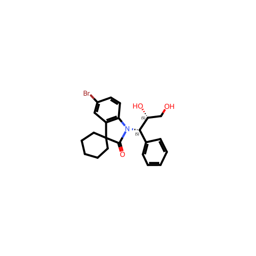 O=C1N([C@@H](c2ccccc2)[C@H](O)CO)c2ccc(Br)cc2C12CCCCC2